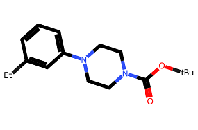 CCc1cccc(N2CCN(C(=O)OC(C)(C)C)CC2)c1